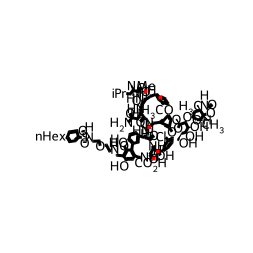 CCCCCCc1ccc(S(=O)(=O)NCCOCCNCc2c(O)cc3c(c2O)-c2cc(ccc2O)[C@H]2NC(=O)[C@@H]4NC(=O)[C@H](CC(N)=O)NC(=O)[C@H](NC(=O)[C@@H](CC(C)C)NC)[C@H](O)c5ccc(c(C)c5)Oc5cc4cc(c5O[C@@H]4O[C@H](CO)[C@@H](O)[C@H](O)[C@H]4O[C@H]4C[C@]5(C)NC(=O)O[C@@H]5[C@H](C)O4)Oc4ccc(cc4Cl)[C@@H](O)[C@H](NC2=O)C(=O)N[C@@H]3C(=O)O)cc1